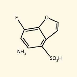 N.O=S(=O)(O)c1ccc(F)c2occc12